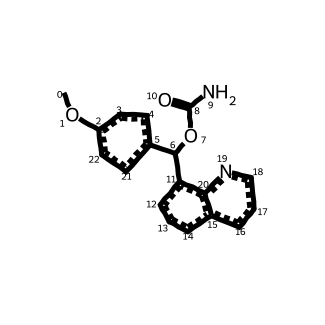 COc1ccc(C(OC(N)=O)c2cccc3cccnc23)cc1